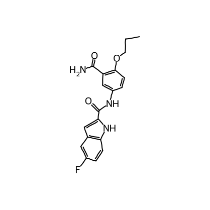 CCCOc1ccc(NC(=O)c2cc3cc(F)ccc3[nH]2)cc1C(N)=O